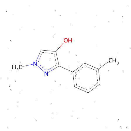 Cc1cccc(-c2nn(C)cc2O)c1